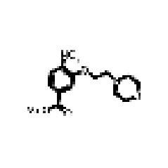 COC(=O)c1ccc([N+](=O)[O-])c(OCCN2CCOCC2)c1